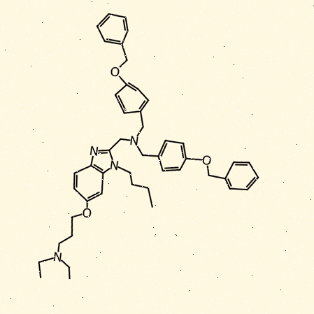 CCCCn1c(CN(Cc2ccc(OCc3ccccc3)cc2)Cc2ccc(OCc3ccccc3)cc2)nc2ccc(OCCCN(CC)CC)cc21